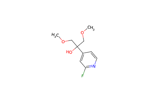 COCC(O)(COC)c1ccnc(F)c1